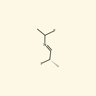 CC(F)N=C[C@H](C)I